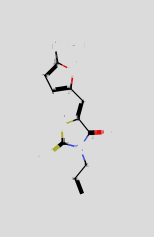 C=CCN1C(=O)C(=Cc2ccc(CCCCC)o2)SC1=S